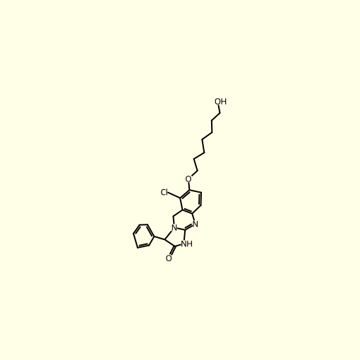 O=C1NC2=Nc3ccc(OCCCCCCCO)c(Cl)c3CN2C1c1ccccc1